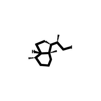 C[C@H](CI)[C@H]1CC[C@H]2[C@@H](C)CCC[C@]12C